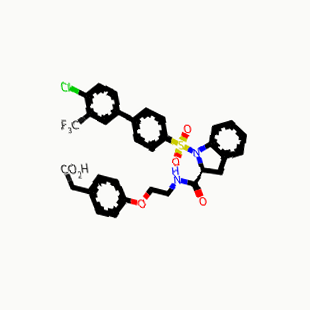 O=C(O)Cc1ccc(OCCNC(=O)[C@@H]2Cc3ccccc3N2S(=O)(=O)c2ccc(-c3ccc(Cl)c(C(F)(F)F)c3)cc2)cc1